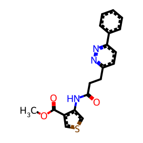 COC(=O)c1cscc1NC(=O)CCc1ccc(-c2ccccc2)nn1